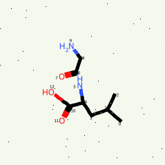 CC(C)CC(NC(=O)CN)C(=O)O